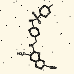 COc1ccc2cc(C(=O)O)c(NCc3ccc(NS(=O)(=O)c4ccc(C)cc4)cc3)nc2c1